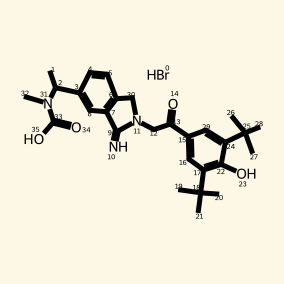 Br.CC(c1ccc2c(c1)C(=N)N(CC(=O)c1cc(C(C)(C)C)c(O)c(C(C)(C)C)c1)C2)N(C)C(=O)O